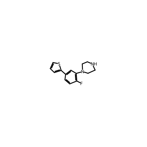 Fc1ccc(-c2cccs2)cc1N1CCNCC1